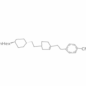 CCCCCC[C@H]1CC[C@H](CCC2CC=C(CCc3ccc(C#N)cc3)CC2)CC1